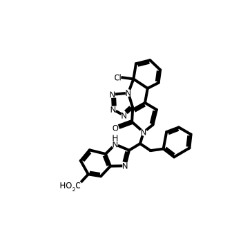 O=C(O)c1ccc2[nH]c(C(Cc3ccccc3)n3ccc(C4C=CC=CC4(Cl)n4cnnn4)cc3=O)nc2c1